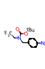 CC(C)(C)OC(=O)N(Cc1ccc(N)cc1)CC(F)(F)F